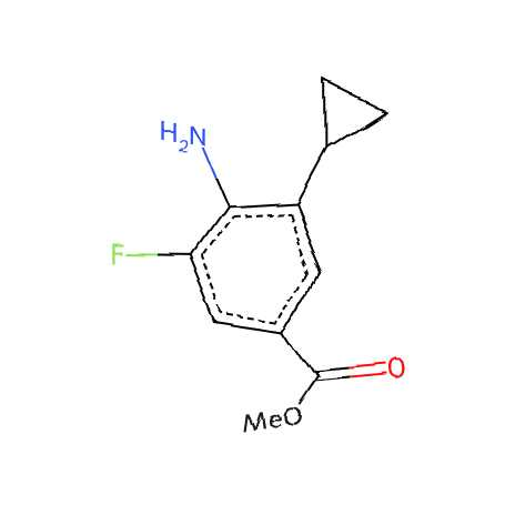 COC(=O)c1cc(F)c(N)c(C2CC2)c1